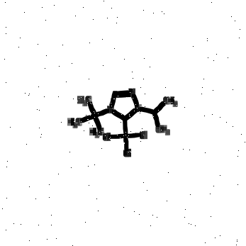 CC(C)N1N=CN(C(C)(C)C)C1C(Cl)(Cl)Cl